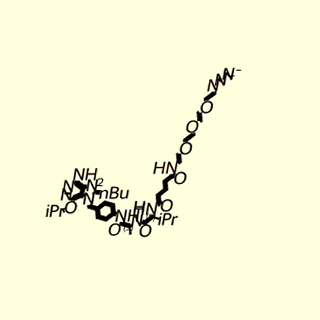 CCCCc1nc2c(N)nnc(OC(C)C)c2n1CC1CCC(NC(=O)[C@H](C)NC(=O)[C@@H](NC(=O)CCCC(=O)NCCOCCOCCOCCN=[N+]=[N-])C(C)C)CC1